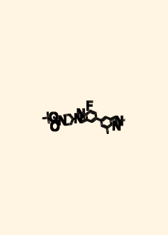 Cc1cc(-c2cc(F)c3nn(C4CCN(C(=O)OC(C)(C)C)CC4)cc3c2)cc2cn(C)nc12